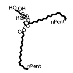 CCCCC/C=C\C/C=C\CCCCCCCCCCCC(=O)OC[C@H](COP(=O)(O)OC[C@@H](O)CO)OC(=O)CCCCCCCCCCC/C=C\C/C=C\CCCCC